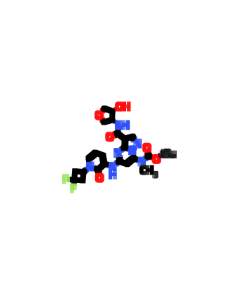 CN(C(=O)OC(C)(C)C)c1cc(Nc2cccn(C3CC(F)(F)C3)c2=O)nc2c(C(=O)N[C@@H]3COC[C@@H]3O)cnn12